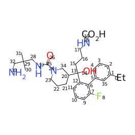 CCc1cccc(-c2c(F)cccc2C(O)(CCCNC(=O)O)C2CCCN(C(=O)NCC(C)(C)CN)C2)c1